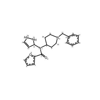 O=C(c1ccco1)N(C1CCN(Cc2ccccc2)CC1)C1C=CNN1